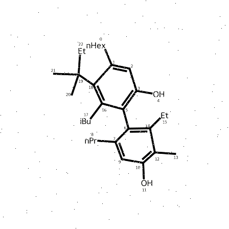 CCCCCCc1cc(O)c(-c2c(CCC)cc(O)c(C)c2CC)c(C(C)CC)c1C(C)(C)CC